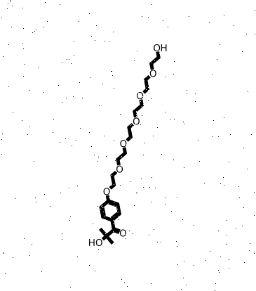 CC(C)(O)C(=O)c1ccc(OCCOCCOCCOCCOCCOCCO)cc1